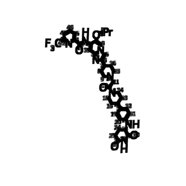 CC(C)Oc1cn2cc(C3CCN(CC(=O)N4CCC(c5ccc(NC6CCC(=O)NC6=O)cc5)CC4)CC3)nc2cc1NC(=O)c1cccc(C(F)(F)F)n1